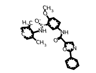 COc1ccc(NC(=O)c2cnc(-c3ccccc3)o2)cc1[S+]([O-])Nc1c(C)cccc1C